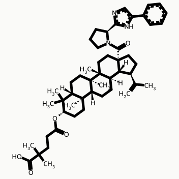 C=C(C)[C@@H]1CC[C@]2(C(=O)N3CCC[C@H]3c3ncc(-c4ccccc4)[nH]3)CC[C@]3(C)[C@H](CC[C@@H]4[C@@]5(C)CC[C@H](OC(=O)CCC(C)(C)C(=O)O)C(C)(C)[C@@H]5CC[C@]43C)[C@@H]12